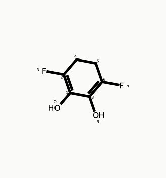 OC1=C(F)[CH]CC(F)=C1O